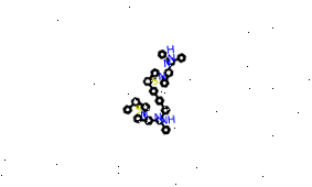 C1=Cc2c(sc3c(-n4c5ccccc5c5ccc(C6=CC(c7ccccc7)NC(c7cccc(-c8ccc(-c9ccc(C%10=CCCc%11c%10sc%10c(-n%12c%13c(c%14ccccc%14%12)C=CC(C%12=CC(c%14ccccc%14)NC(c%14ccccc%14)=N%12)C%13)cccc%11%10)cc9)cc8)c7)=N6)cc54)cccc23)C(c2ccccc2)C1